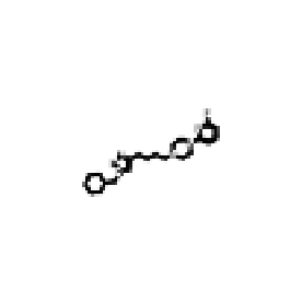 Fc1cccc(N2CCN(CCCCc3cn(CC4CCCCC4)nn3)CC2)n1